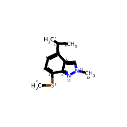 CSc1ccc(C(C)C)c2cn(C)nc12